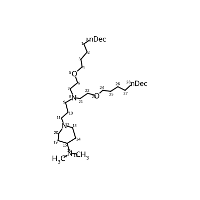 CCCCCCCCCCCCCCOCCN(CCCN1CCC(N(C)C)CC1)CCOCCCCCCCCCCCCCC